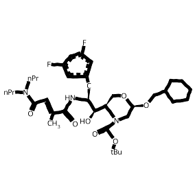 CCCN(CCC)C(=O)C=C(C)C(=O)N[C@@H](Cc1cc(F)cc(F)c1)[C@H](O)[C@H]1CO[C@@H](OCC2CCCCC2)CN1C(=O)OC(C)(C)C